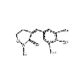 CCN1OCCC(=Cc2cc(C(C)(C)C)c(O)c(C(C)(C)C)c2)C1=O